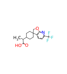 CC(C(=O)O)C1CCC2(CC1)COc1nc(C(F)(F)F)ccc12